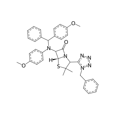 COc1ccc(C(c2ccccc2)N(c2ccc(OC)cc2)C2C(=O)N3C(c4nnnn4Cc4ccccc4)C(C)(C)S[C@H]23)cc1